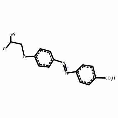 CCCC(Cl)COc1ccc(/N=N/c2ccc(C(=O)O)cc2)cc1